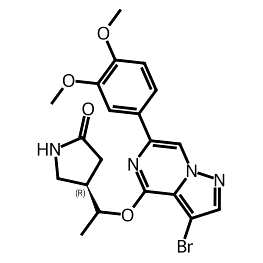 COc1ccc(-c2cn3ncc(Br)c3c(OC(C)[C@H]3CNC(=O)C3)n2)cc1OC